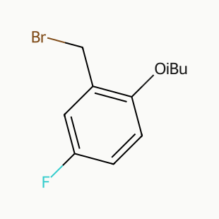 CC(C)COc1ccc(F)cc1CBr